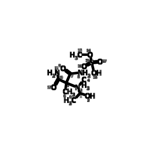 CC(O)N(C)C(C)(C(N)=O)C(N)=O.COS(=O)(=O)O